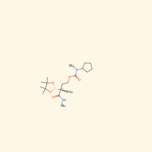 CC(=O)N[C@](CCOC(=O)N(C1CCCC1)C(C)(C)C)(B1OC(C)(C)C(C)(C)O1)C(=O)NC(C)(C)C